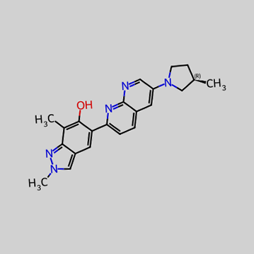 Cc1c(O)c(-c2ccc3cc(N4CC[C@@H](C)C4)cnc3n2)cc2cn(C)nc12